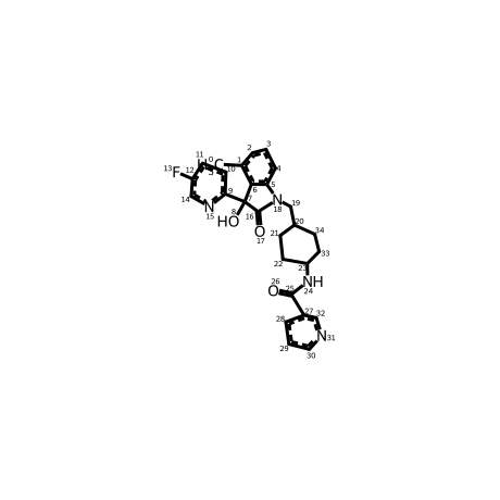 Cc1cccc2c1C(O)(c1ccc(F)cn1)C(=O)N2CC1CCC(NC(=O)c2cccnc2)CC1